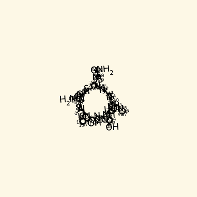 Cc1sc2nc1C(=O)N[C@@H]([C@H](O)c1ccccc1)c1nc(cs1)C(=O)N[C@@H](Cc1ccc(O)cc1)C(=O)N[C@@H]([C@@H](C)[C@@H](O)CN1CCCCC1)c1nc(cs1)-c1nc(cs1)-c1nc(-c3nc(C(N)=O)cs3)ccc1-c1nc(cs1)C(=O)N[C@H]2CC(N)=O